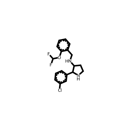 FC(F)Oc1ccccc1CNC1CCNC1c1cccc(Cl)c1